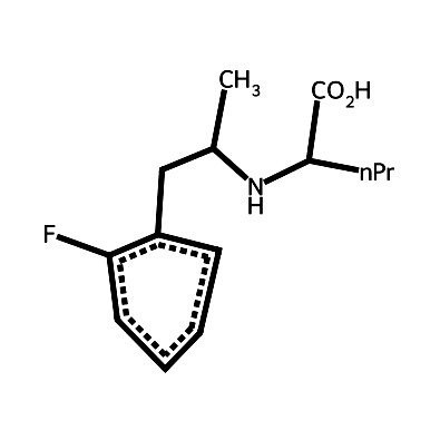 CCCC(NC(C)Cc1ccccc1F)C(=O)O